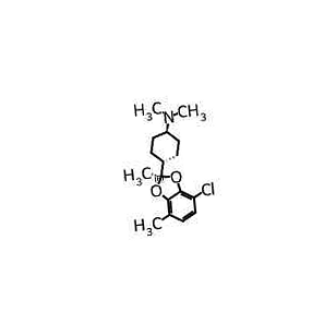 Cc1ccc(Cl)c2c1O[C@@](C)([C@H]1CC[C@H](N(C)C)CC1)O2